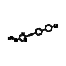 CCCOc1cnc(C#Cc2ccc(C3CCC(CC)CC3)cc2)nc1